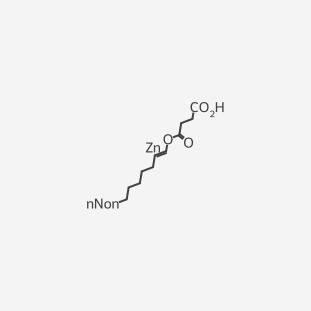 CCCCCCCCCCCCCC/C=C/OC(=O)CCC(=O)O.[Zn]